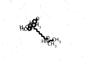 CCCC(C)NC(=O)CCCCCCCCC[C@@H]1C[C@H]2CC(=O)CC[C@]2(C)[C@H]2CC[C@]3(C)[C@@H](O)CC[C@H]3[C@H]12